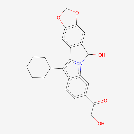 O=C(CO)c1ccc2c(C3CCCCC3)c3n(c2c1)C(O)c1cc2c(cc1-3)OCO2